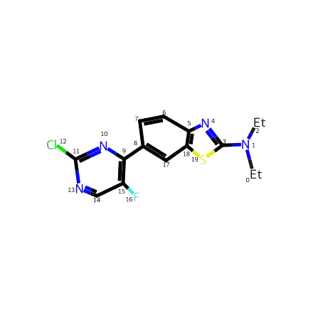 CCN(CC)c1nc2ccc(-c3nc(Cl)ncc3F)cc2s1